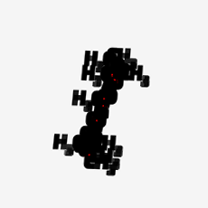 COc1cc(C(=O)Oc2ccc(C(=O)Oc3ccc(-c4ccc(OC(=O)c5ccc(OC(=O)c6cc(OC)c(OCCC(C)C)cc6OC)cc5)c(C)c4)cc3)cc2)c(OC)cc1OCCC(C)C